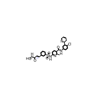 Cc1nc(NS(=O)(=O)c2cccc(/C=C/C(=O)NO)c2)ccc1C(=O)Nc1ccc(Cl)c(C2CC=CC=N2)c1